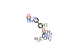 CC(C)C[C@](C)(N)COc1ccc(-c2ccnc(NC3CCOC3)c2)cc1Cl